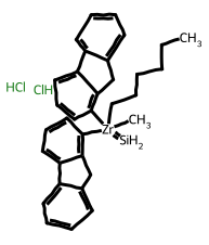 CCCCC[CH2][Zr]([CH3])(=[SiH2])([c]1cccc2c1Cc1ccccc1-2)[c]1cccc2c1Cc1ccccc1-2.Cl.Cl